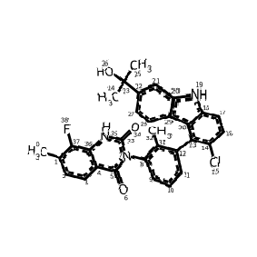 Cc1ccc2c(=O)n(-c3cccc(-c4c(Cl)ccc5[nH]c6cc(C(C)(C)O)ccc6c45)c3C)c(=O)[nH]c2c1F